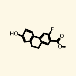 COC(=O)c1cc2c(cc1F)-c1ccc(O)cc1CC2